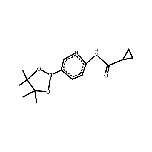 CC1(C)OB(c2ccc(NC(=O)C3CC3)nc2)OC1(C)C